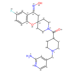 Nc1cc(CN2CCC(C(=O)N3CCC4(CC3)CC(=NO)c3cc(F)ccc3O4)CC2)ccn1